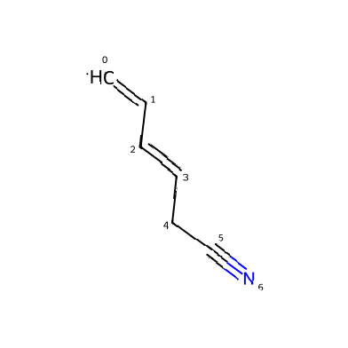 [CH]=CC=CCC#N